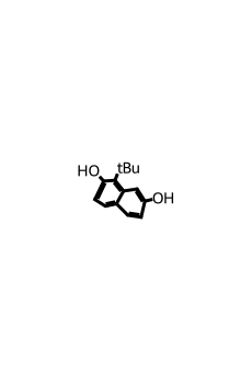 CC(C)(C)c1c(O)ccc2ccc(O)cc12